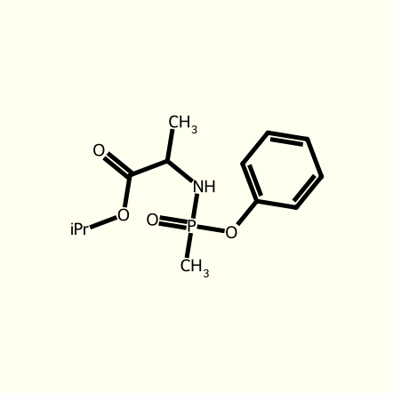 CC(C)OC(=O)C(C)NP(C)(=O)Oc1ccccc1